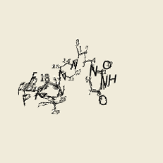 CC(CCCn1ccc(=O)[nH]c1=O)N1CCN(c2cc(C(F)(F)F)nc(C(C)(C)C)n2)CC1